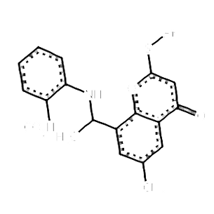 CCSc1cc(=O)c2cc(C)cc(C(C)Nc3ccccc3C(=O)O)c2o1